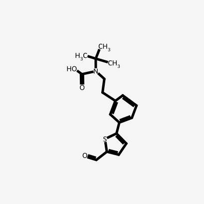 CC(C)(C)N(CCc1cccc(-c2ccc(C=O)s2)c1)C(=O)O